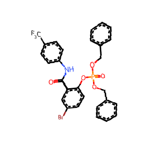 O=C(Nc1ccc(C(F)(F)F)cc1)c1cc(Br)ccc1OP(=O)(OCc1ccccc1)OCc1ccccc1